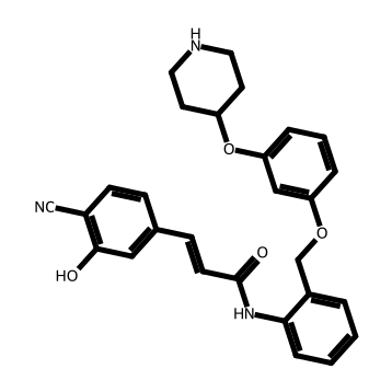 N#Cc1ccc(C=CC(=O)Nc2ccccc2COc2cccc(OC3CCNCC3)c2)cc1O